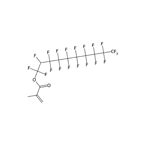 C=C(C)C(=O)OC(F)(F)C(F)C(F)(F)C(F)(F)C(F)(F)C(F)(F)C(F)(F)C(F)(F)C(F)(F)C(F)(F)F